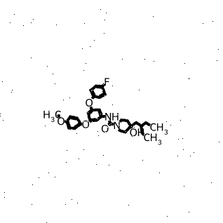 CCC(CC)CC1(O)CCN(C(=O)Nc2cc(Oc3ccc(F)cc3)cc(Oc3ccc(OC)cc3)c2)CC1